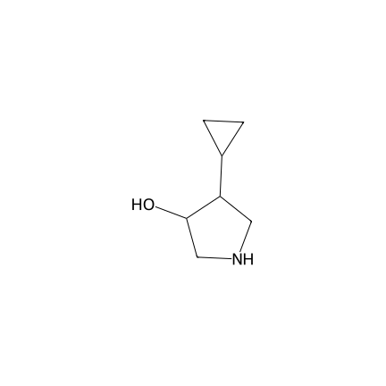 OC1CNCC1C1CC1